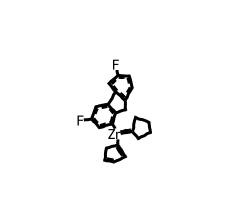 Fc1ccc2c(c1)-c1cc(F)c[c]([Zr]([C]3=CC=CC3)=[C]3CCCC3)c1C2